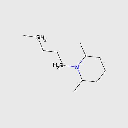 C[SiH2]CC[SiH2]N1C(C)CCCC1C